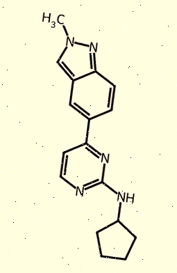 Cn1cc2cc(-c3ccnc(NC4CCCC4)n3)ccc2n1